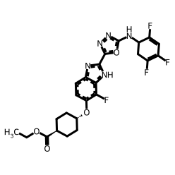 CCOC(=O)[C@H]1CC[C@H](Oc2ccc3nc(-c4nnc(NC5CC(F)=C(F)C=C5F)o4)[nH]c3c2F)CC1